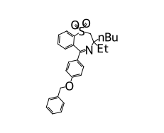 CCCCC1(CC)CS(=O)(=O)c2ccccc2C(c2ccc(OCc3ccccc3)cc2)=N1